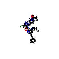 Cc1cc(C#Cc2ccccc2)cnc1NC(=O)c1c(Cl)cnn1CC1CCN(C(=O)C2CC2)CC1